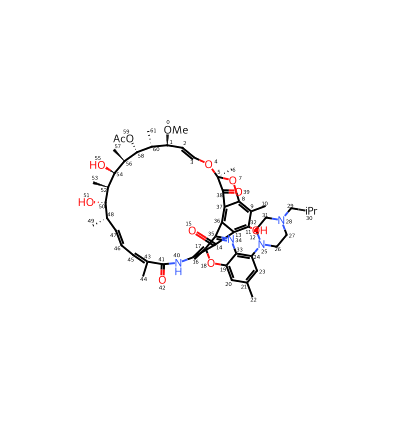 CO[C@H]1/C=C/O[C@@]2(C)Oc3c(C)c(O)c4c(=O)c(c5oc6cc(C)cc(N7CCN(CC(C)C)CC7)c6nc-5c4c3C2=O)NC(=O)/C(C)=C\C=C\[C@H](C)[C@H](O)[C@@H](C)[C@@H](O)[C@@H](C)[C@H](OC(C)=O)[C@@H]1C